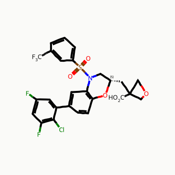 O=C(O)C1(C[C@H]2CN(S(=O)(=O)c3cccc(C(F)(F)F)c3)c3cc(-c4cc(F)cc(F)c4Cl)ccc3O2)COC1